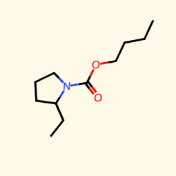 CCCCOC(=O)N1CCCC1CC